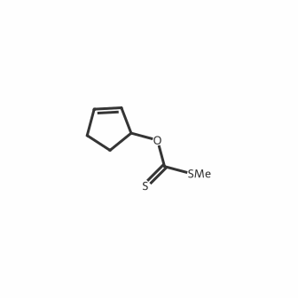 CSC(=S)OC1C=CCC1